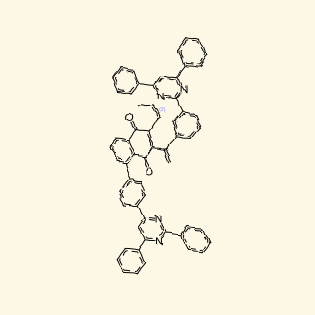 C=C(C1=C(/C=C\C)C(=O)c2cccc(-c3ccc(-c4cc(-c5ccccc5)nc(-c5ccccc5)n4)cc3)c2C1=O)c1cccc(-c2nc(-c3ccccc3)cc(-c3ccccc3)n2)c1